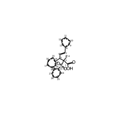 O=C(O)C(F)(C(C=Cc1ccccc1)c1ccccc1)S(=O)(=O)c1ccccc1